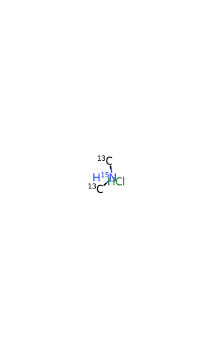 Cl.[13CH3][15NH][13CH3]